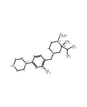 C[C@@]1(C(C(F)(F)F)C(F)(F)F)CN(Cc2ccc(N3CCOCC3)cc2C(F)(F)F)CCN1C(=O)O